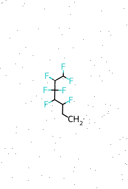 [CH2]CC(F)C(F)C(F)(F)[C@@H](F)C(F)F